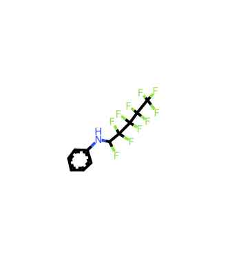 FC(Nc1ccccc1)C(F)(F)C(F)(F)C(F)(F)C(F)(F)F